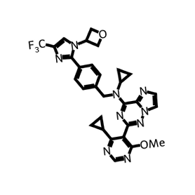 COc1ncnc(C2CC2)c1-c1nc(N(Cc2ccc(-c3nc(C(F)(F)F)cn3C3COC3)cc2)C2CC2)c2nccn2n1